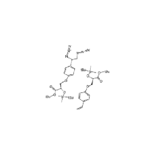 C=Cc1ccc(OC[C@@H](O[Si](C)(C)C(C)(C)C)C(=O)OC(C)(C)C)cc1.CC(C)(C)OC(=O)[C@@H](COc1ccc(C(CN=[N+]=[N-])N=[N+]=[N-])cc1)O[Si](C)(C)C(C)(C)C